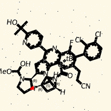 COC(O)N1CCC[C@@H]1c1cc2c(-c3ccc(C(C)(C)O)nc3)nc3c(F)c(-c4cccc(Cl)c4Cl)c(CCC#N)cc3c2n1[C@H]1[C@@H]2C[C@H]1N(C(=O)OC(C)(C)C)C2